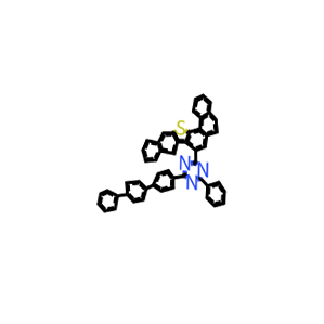 c1ccc(-c2ccc(-c3ccc(-c4nc(-c5ccccc5)nc(-c5cc6ccc7ccccc7c6c6sc7cc8ccccc8cc7c56)n4)cc3)cc2)cc1